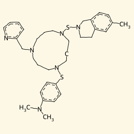 Cc1ccc2c(c1)CCN(SN1CCCN(Cc3ccccn3)CCCN(Sc3ccc(N(C)C)cc3)CCC1)C2